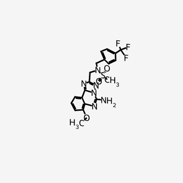 COc1cccc2c1nc(N)n1nc(CN(Cc3ccc(C(F)(F)F)cc3)S(C)(=O)=O)nc21